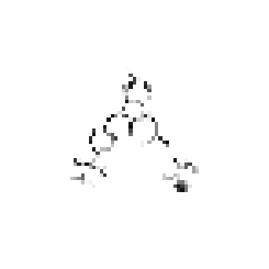 Cc1ccc2c(n1)c(Cc1ccc(S(=O)(=O)N(C)C)cn1)c(C)n2CC(F)=CCN.Cl.Cl.Cl